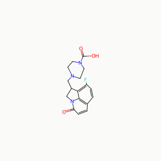 O=C(O)N1CCN(CC2Cn3c(=O)ccc4ccc(F)c2c43)CC1